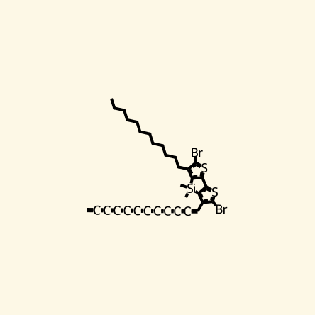 C=C=C=C=C=C=C=C=C=C=C=Cc1c(Br)sc2c1[Si](C)(C)c1c-2sc(Br)c1CCCCCCCCCCCC